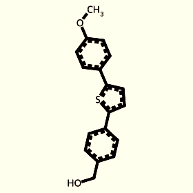 COc1ccc(-c2ccc(-c3ccc(CO)cc3)s2)cc1